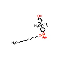 CCCCCCCCCCCCOP(O)Oc1ccc(C(C)(C)c2ccc(O)cc2)cc1